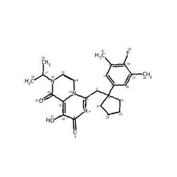 Cc1cc(C2(Cc3nc(=O)c(O)c4n3CCN(C(C)C)C4=O)CCCC2)cc(C)c1F